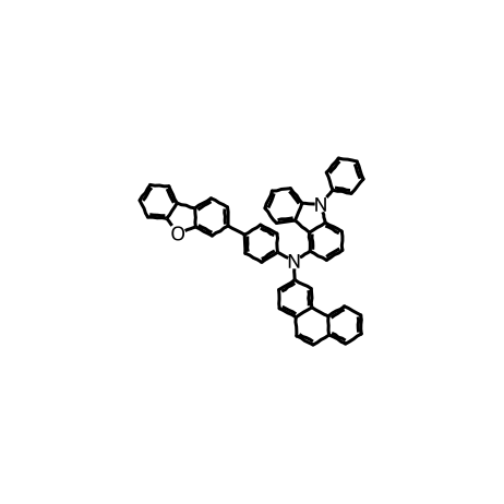 c1ccc(-n2c3ccccc3c3c(N(c4ccc(-c5ccc6c(c5)oc5ccccc56)cc4)c4ccc5ccc6ccccc6c5c4)cccc32)cc1